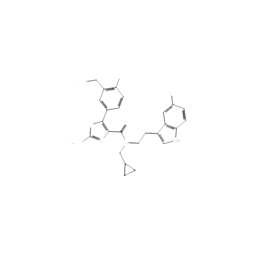 Cc1nc(C(=O)N(CCc2c[nH]c3ccc(F)cc23)CC2CC2)c(-c2ccc(F)c(CO)c2)s1